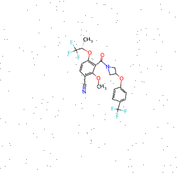 COc1c(C#N)ccc(O[C@@H](C)C(F)(F)F)c1C(=O)N1CC(Oc2ccc(C(F)(F)F)cc2)C1